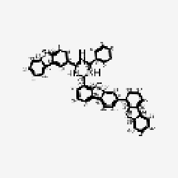 c1ccc(C2NC(c3ccc4sc5ccccc5c4c3)NC(c3cccc4c3oc3cc(-c5cccc6c5sc5ccccc56)ccc34)N2)cc1